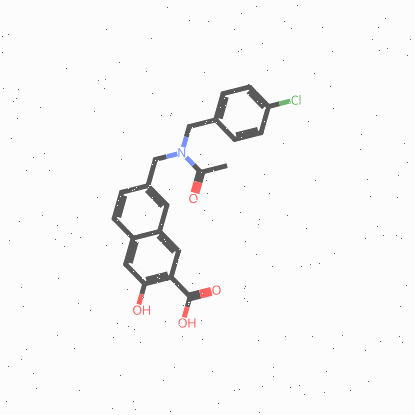 CC(=O)N(Cc1ccc(Cl)cc1)Cc1ccc2cc(O)c(C(=O)O)cc2c1